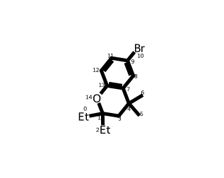 CCC1(CC)CC(C)(C)c2cc(Br)ccc2O1